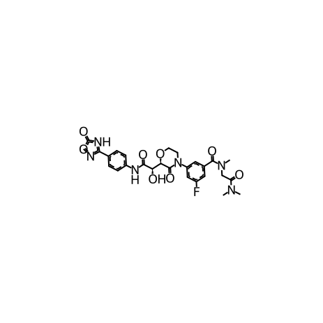 CN(C)C(=O)CN(C)C(=O)c1cc(F)cc(N2CCO[C@H]([C@@H](O)C(=O)Nc3ccc(-c4noc(=O)[nH]4)cc3)C2=O)c1